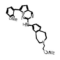 COCCN1CCc2ccc(Nc3ncc4ccc(-c5ccccc5OC)n4n3)cc2CC1